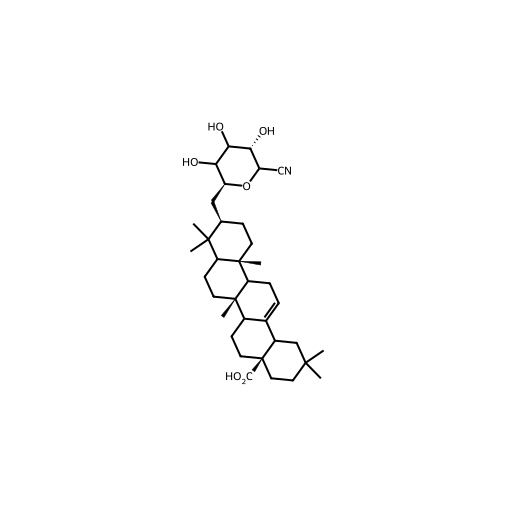 CC1(C)CC[C@]2(C(=O)O)CCC3C(=CCC4[C@@]3(C)CCC3C(C)(C)[C@@H](C[C@@H]5OC(C#N)[C@@H](O)C(O)C5O)CC[C@@]34C)C2C1